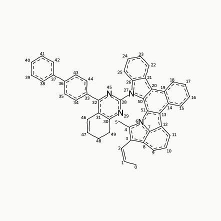 C/C=C\c1c(C)n2c3c1cccc3c1c3ccccc3c3c4ccccc4n(-c4nc5c(c(-c6ccc(-c7ccccc7)cc6)n4)C=CCC5)c3c12